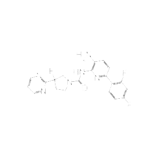 Nc1ccc(-c2ccc(F)cc2F)nc1NC(=O)N1CCC(F)(c2ncccn2)C1